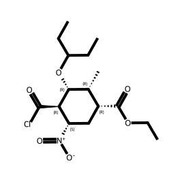 CCOC(=O)[C@@H]1C[C@H]([N+](=O)[O-])[C@@H](C(=O)Cl)[C@H](OC(CC)CC)[C@@H]1C